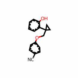 N#Cc1ccc(OCC2(c3ccccc3O)CC2)cc1